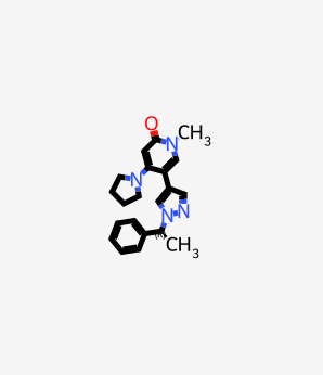 C[C@H](c1ccccc1)n1cc(-c2cn(C)c(=O)cc2N2CCCC2)cn1